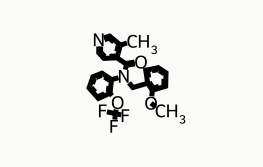 COc1ccccc1CN(C(=O)c1ccncc1C)c1ccccc1OC(F)(F)F